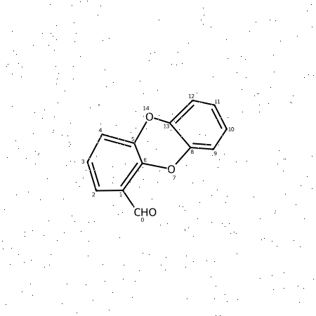 O=Cc1cccc2c1Oc1ccccc1O2